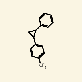 FC(F)(F)c1ccc(C2CC2c2ccccc2)cc1